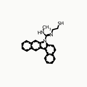 CN/C(=N\CCS)n1c2cc3ccccc3cc2c2c3ccccc3ccc21